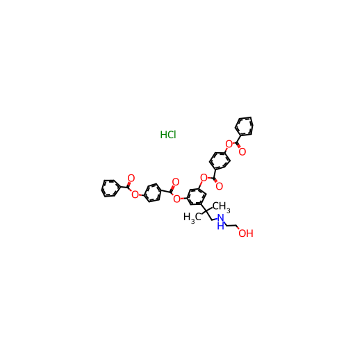 CC(C)(CNCCO)c1cc(OC(=O)c2ccc(OC(=O)c3ccccc3)cc2)cc(OC(=O)c2ccc(OC(=O)c3ccccc3)cc2)c1.Cl